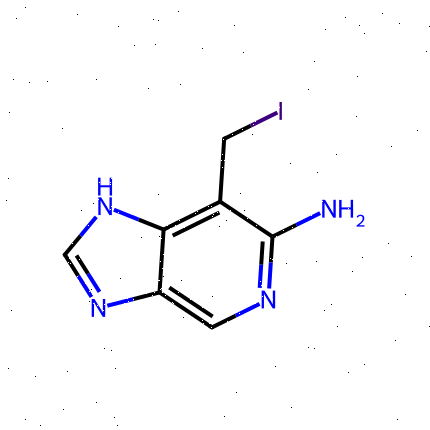 Nc1ncc2nc[nH]c2c1CI